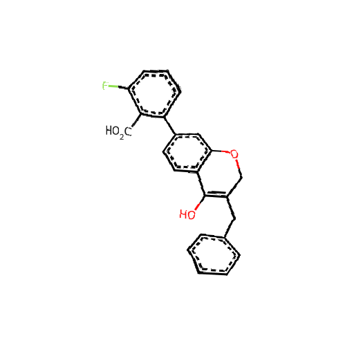 O=C(O)c1c(F)cccc1-c1ccc2c(c1)OCC(Cc1ccccc1)=C2O